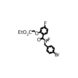 CCOC(=O)COc1cc(F)ccc1C(=O)N(F)Cc1ccc(Br)cc1